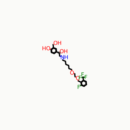 OCc1cc([C@@H](O)CNCCCCCCOCCOCc2c(F)cccc2C(F)(F)F)ccc1O